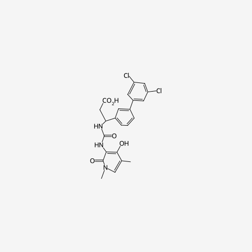 Cc1cn(C)c(=O)c(NC(=O)NC(CC(=O)O)c2cccc(-c3cc(Cl)cc(Cl)c3)c2)c1O